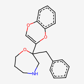 C1=C(C2(Cc3ccccc3)CNCCCO2)Oc2ccccc2O1